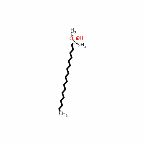 CCCCCCCCCCCCCCCCCC[Si](O)([SiH3])OC